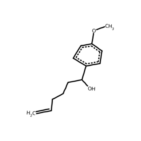 C=CCCCC(O)c1ccc(OC)cc1